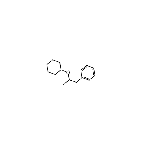 CC(Cc1ccccc1)OC1CCCCC1